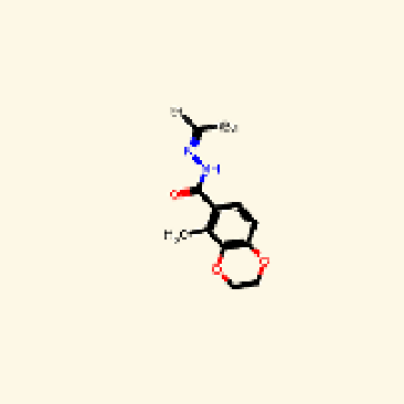 CCC(=NNC(=O)c1ccc2c(c1C)OCCO2)C(C)(C)C